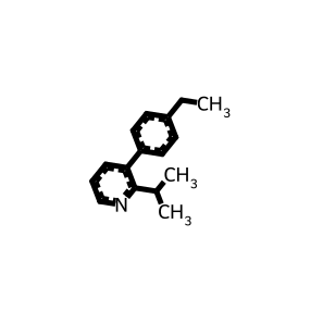 CCc1ccc(-c2cccnc2C(C)C)cc1